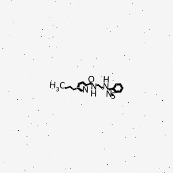 CCCCc1ccc(C(=O)NCCNc2nsc3ccccc23)nc1